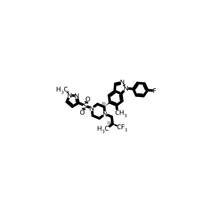 Cc1cc2c(cnn2-c2ccc(F)cc2)cc1[C@H]1CN(S(=O)(=O)c2ccn(C)n2)CCN1C[C@H](C)C(F)(F)F